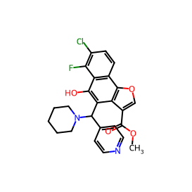 COC(=O)c1coc2c1c(C(c1ccncc1)N1CCCCC1)c(O)c1c(F)c(Cl)ccc12